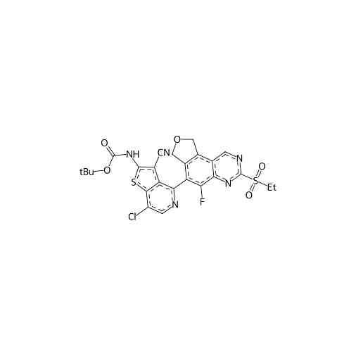 CCS(=O)(=O)c1ncc2c3c(c(-c4ncc(Cl)c5sc(NC(=O)OC(C)(C)C)c(C#N)c45)c(F)c2n1)COC3